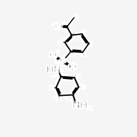 CC(=O)c1cccc(S(=O)(=O)Nc2ccc(N)cc2)c1